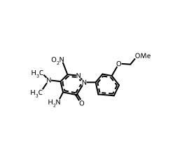 COCOc1cccc(-n2nc([N+](=O)[O-])c(N(C)C)c(N)c2=O)c1